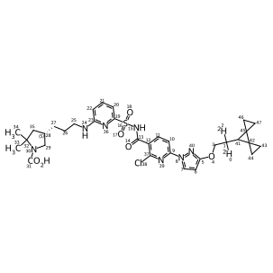 [2H]C([2H])(COc1ccn(-c2ccc(C(=O)NS(=O)(=O)c3cccc(NCCC[C@@H]4CN(C(=O)O)C(C)(C)C4)n3)c(Cl)n2)n1)C1C2(CC2)C12CC2